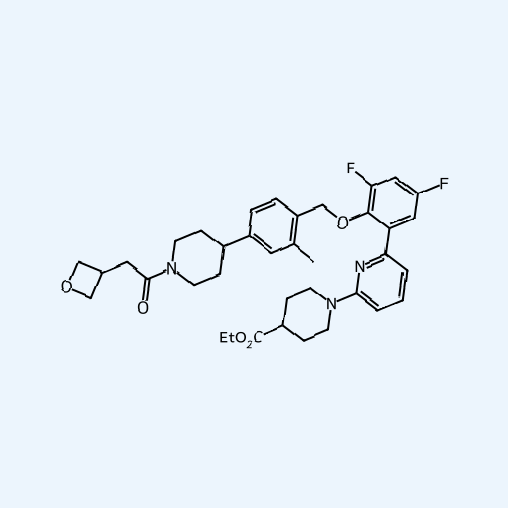 CCOC(=O)C1CCN(c2cccc(-c3cc(F)cc(F)c3OCc3ccc(C4CCN(C(=O)CC5COC5)CC4)cc3C)n2)CC1